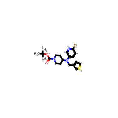 CC(C)(C)OC(=O)N1CCC(N(Cc2ccsc2)c2ccc(Br)nc2)CC1